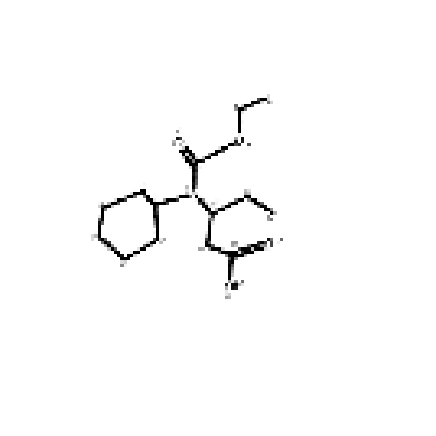 CCOC(=O)N(C1CCCCC1)C(CC)CC(=O)O